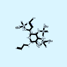 C=CCC[C@@H]1O[C@@H](C(/C=C/I)O[Si](C)(C)C(C)(C)C)C(O[Si](C)(C)C(C)(C)C)C(O[Si](C)(C)C(C)(C)C)C1O